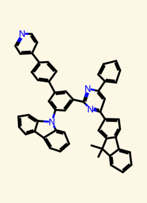 CC1(C)c2ccccc2-c2ccc(-c3cc(-c4ccccc4)nc(-c4cc(-c5ccc(-c6ccncc6)cc5)cc(-n5c6ccccc6c6ccccc65)c4)n3)cc21